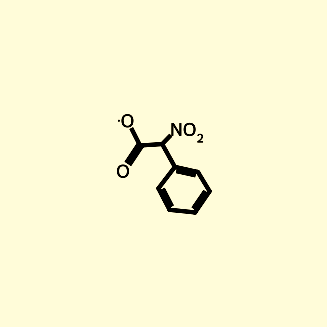 [O]C(=O)C(c1ccccc1)[N+](=O)[O-]